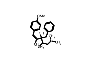 COc1ccc(C=C(C)C(O)(Cc2ccccc2)C(C)CN(C)C)cc1